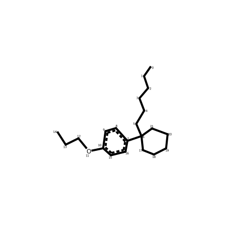 CCCCCCC1(c2ccc(OCCC)cc2)CCCCC1